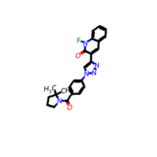 CC1(C)CCCN1C(=O)c1ccc(-n2cc(-c3cc4ccccc4n(F)c3=O)nn2)cc1